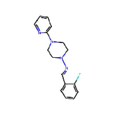 Fc1ccccc1C=NN1CCN(c2ccccn2)CC1